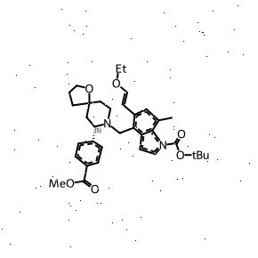 CCOC=Cc1cc(C)c2c(ccn2C(=O)OC(C)(C)C)c1CN1CCC2(CCCO2)C[C@H]1c1ccc(C(=O)OC)cc1